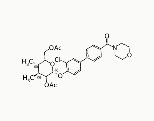 CC(=O)OCC1O[C@H](Oc2ccc(-c3ccc(C(=O)N4CCOCC4)cc3)cc2Cl)C(OC(C)=O)[C@@H](C)[C@@H]1C